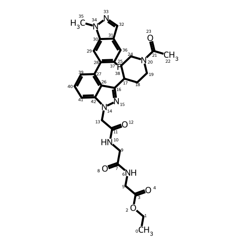 CCOC(=O)CNC(=O)CNC(=O)Cn1nc(C2CCN(C(C)=O)CC2)c2c(-c3cc4c(cnn4C)cc3F)cccc21